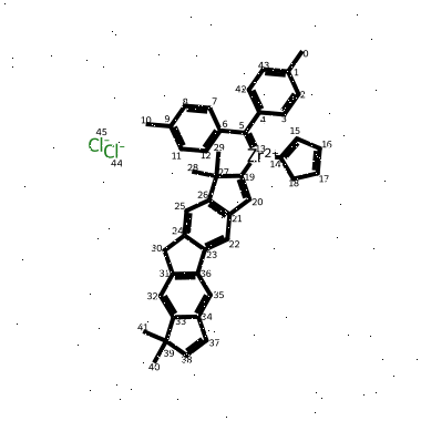 Cc1ccc([C](c2ccc(C)cc2)=[Zr+2]([C]2=CC=CC2)[C]2=Cc3cc4c(cc3C2(C)C)Cc2cc3c(cc2-4)C=CC3(C)C)cc1.[Cl-].[Cl-]